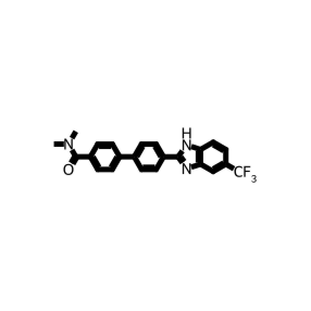 CN(C)C(=O)c1ccc(-c2ccc(-c3nc4cc(C(F)(F)F)ccc4[nH]3)cc2)cc1